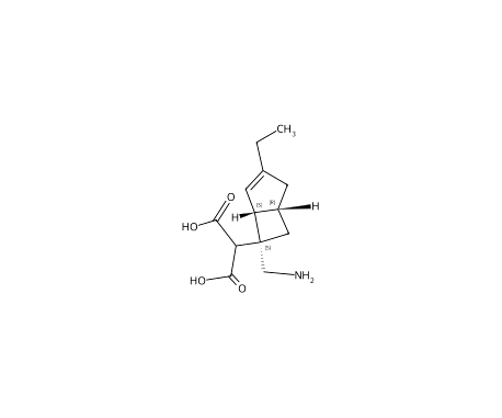 CCC1=C[C@@H]2[C@H](C1)C[C@@]2(CN)C(C(=O)O)C(=O)O